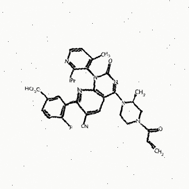 C=CC(=O)N1CCN(c2nc(=O)n(-c3c(C)ccnc3C(C)C)c3nc(-c4cc(C(=O)O)ccc4F)c(C#N)cc23)[C@@H](C)C1